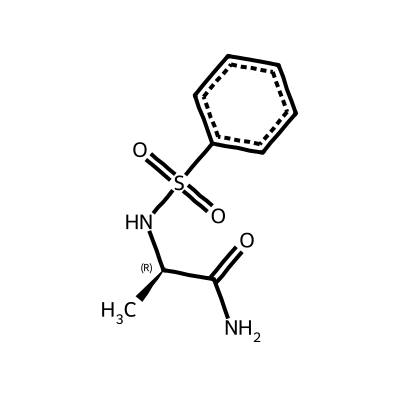 C[C@@H](NS(=O)(=O)c1ccccc1)C(N)=O